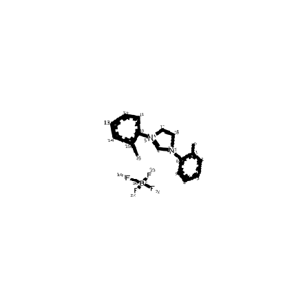 Cc1ccccc1N1C=[N+](c2ccccc2C)CC1.F[B-](F)(F)F